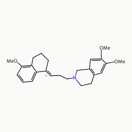 COc1cc2c(cc1OC)CN(CC/C=C1\CCCc3c(OC)cccc31)CC2